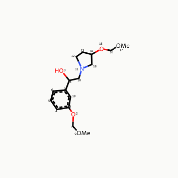 COCOc1cccc(C(O)CN2CCC(OCOC)C2)c1